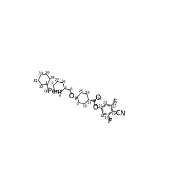 CCCC(C)C1([C@H]2CC[C@H](CO[C@H]3CC[C@H](C(=O)Oc4cc(F)c(C#N)c(F)c4)CC3)CC2)CCCCC1